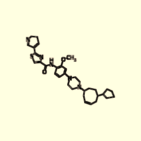 COc1cc(N2CCN(C3CC=CCC(C4CCCC4)CC3)CC2)ccc1NC(=O)c1csc(C2=CCCN=C2)n1